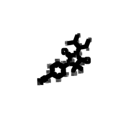 CCC(C(C)C)N1C(=O)N(c2ccc(C#N)cc2)C(C)(C)C1=O